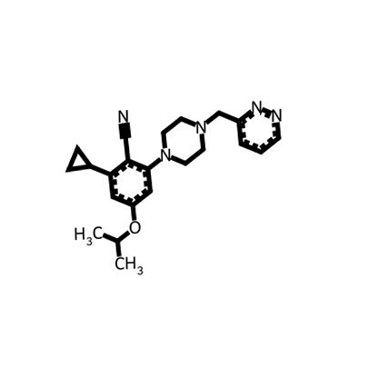 CC(C)Oc1cc(C2CC2)c(C#N)c(N2CCN(Cc3cccnn3)CC2)c1